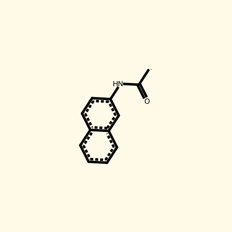 [CH2]C(=O)Nc1ccc2ccccc2c1